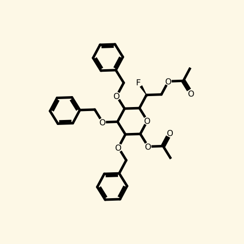 CC(=O)OC[C@H](F)C1OC(OC(C)=O)C(OCc2ccccc2)C(OCc2ccccc2)C1OCc1ccccc1